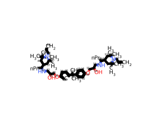 C=CCN1C(C)(C)CC(C(CCC)NCC(O)COc2ccc(C(C)(C)c3ccc(OCC(O)CNC(CCC)C4CC(C)(C)N(CC=C)C(C)(C)C4)cc3)cc2)CC1(C)C